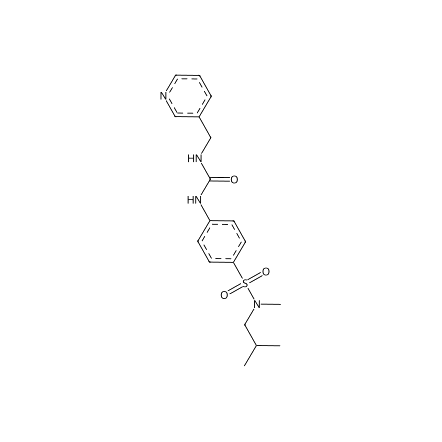 CC(C)CN(C)S(=O)(=O)c1ccc(NC(=O)NCc2cccnc2)cc1